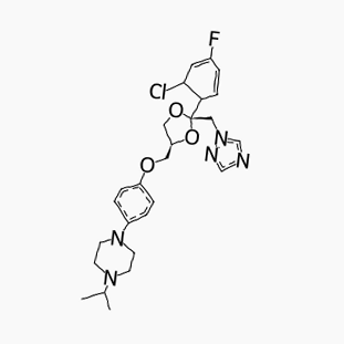 CC(C)N1CCN(c2ccc(OC[C@H]3CO[C@](Cn4cncn4)(C4C=CC(F)=CC4Cl)O3)cc2)CC1